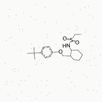 CCS(=O)(=O)NC1CCCCC1COc1ccc(C(C)(C)C)cc1